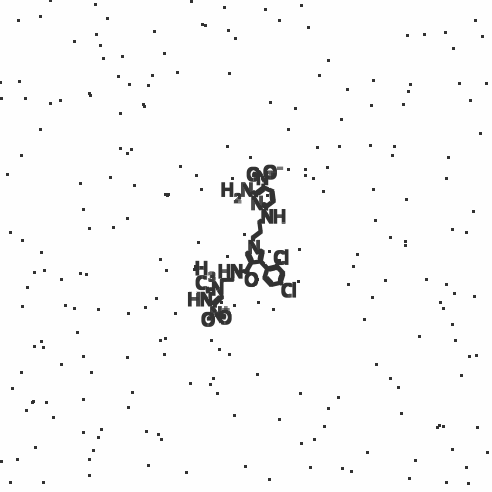 CC1NC([N+](=O)[O-])=CN1CCNC(=O)c1cn(CCCNc2ccc([N+](=O)[O-])c(N)n2)cc1-c1ccc(Cl)cc1Cl